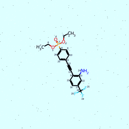 CCOP(=O)(OCC)c1ccc(C#Cc2ccc(C(F)(F)F)cc2N)cc1